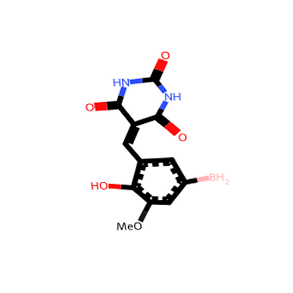 Bc1cc(C=C2C(=O)NC(=O)NC2=O)c(O)c(OC)c1